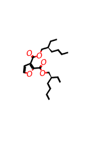 CCCC[C@H](CC)COC(=O)c1ccoc1C(=O)OC[C@@H](CC)CCCC